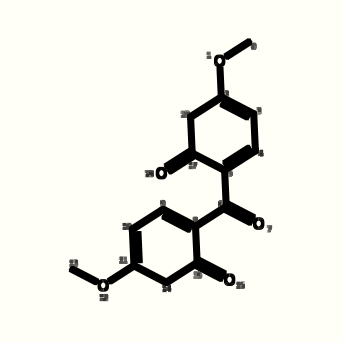 COC1=CC=C(C(=O)C2=CC=C(OC)CC2=O)C(=O)C1